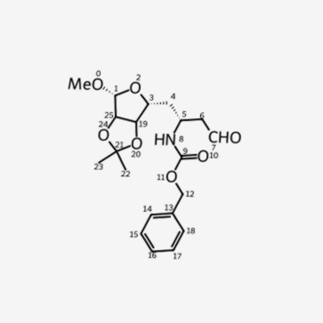 CO[C@@H]1O[C@H](C[C@H](CC=O)NC(=O)OCc2ccccc2)C2OC(C)(C)OC21